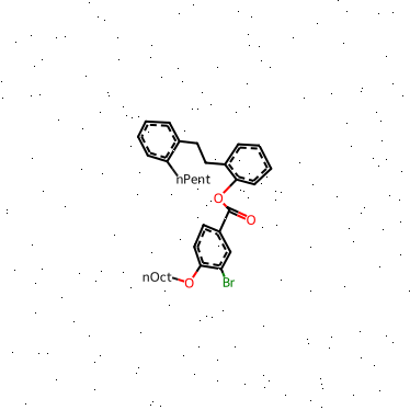 CCCCCCCCOc1ccc(C(=O)Oc2ccccc2CCc2ccccc2CCCCC)cc1Br